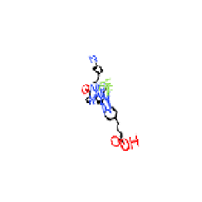 N#Cc1ccc(CCNC(=O)C2CCN2c2cc(N3CCC(CCCC(=O)O)CC3)nc(C(F)(F)F)n2)cc1